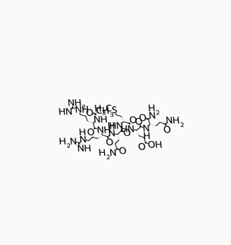 CSCC[C@@H](NC(=O)[C@H](CCC(N)=O)NC(=O)[C@H](CCCNC(=N)N)NC(=O)[C@H](CCCNC(=N)N)NC(C)=O)C(=O)N[C@@H](CCC(=O)O)C(=O)N[C@@H](CCC(N)=O)C(N)=O